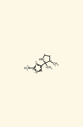 CC1CCNC1(C)c1csc(N)n1